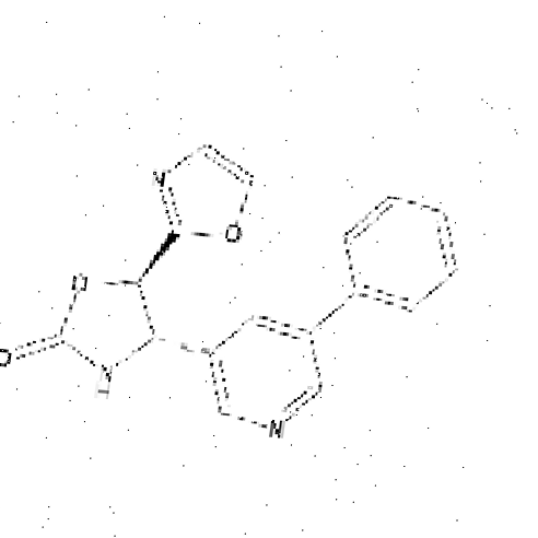 O=C1N[C@@H](c2cncc(-c3ccccc3)c2)[C@H](c2ncco2)O1